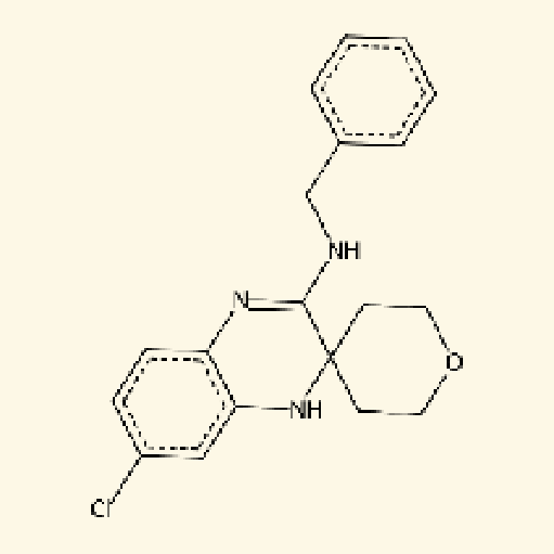 Clc1ccc2c(c1)NC1(CCOCC1)C(NCc1ccccc1)=N2